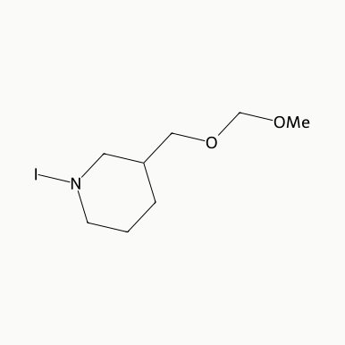 COCOCC1CCCN(I)C1